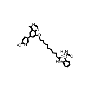 COc1ccc(-c2cc(OCCCCCCCCCC(=O)Nc3ccccc3OC(N)=O)c3ncnc(C)c3c2)cn1